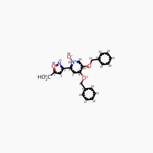 O=C(O)c1cc(-c2cc(OCc3ccccc3)c(OCc3ccccc3)c[n+]2[O-])no1